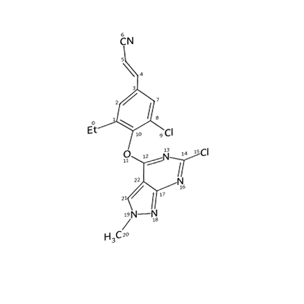 CCc1cc(/C=C/C#N)cc(Cl)c1Oc1nc(Cl)nc2nn(C)cc12